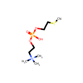 C[N+](C)(C)CCOP(=O)(O)OCCSC#N